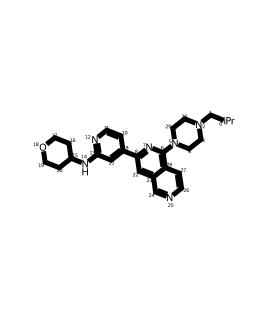 CC(C)CN1CCN(c2nc(-c3ccnc(NC4CCOCC4)c3)cc3cnccc23)CC1